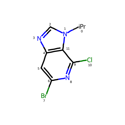 CC(C)n1cnc2cc(Br)nc(Cl)c21